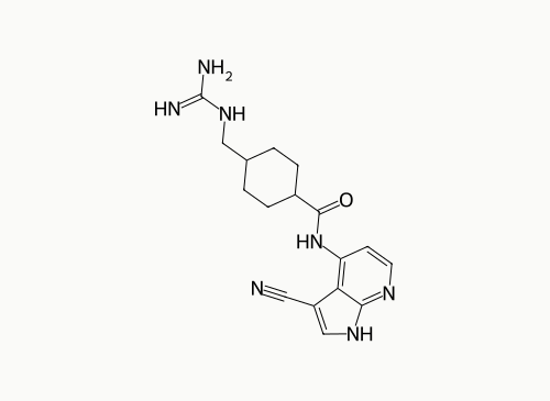 N#Cc1c[nH]c2nccc(NC(=O)C3CCC(CNC(=N)N)CC3)c12